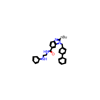 CCCCc1nc2ccc(C(=O)NCCNc3ccccc3)cc2n1Cc1ccc(-c2ccccc2)cc1